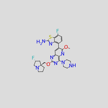 COc1nc2c(N3CCNCC3)nc(OC[C@@]34CCCN3C[C@H](F)C4)nc2cc1-c1ccc(F)c2sc(N)nc12